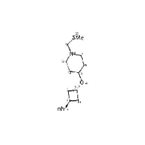 CCC[C@H]1C[C@H](OC2CCN(CSC)CC2)C1